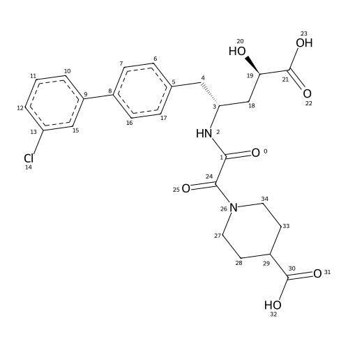 O=C(N[C@H](Cc1ccc(-c2cccc(Cl)c2)cc1)C[C@@H](O)C(=O)O)C(=O)N1CCC(C(=O)O)CC1